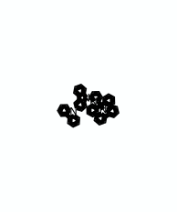 c1ccc(C(c2ccccc2)(c2cccc(-n3c4ccccc4c4cc(-n5c6ccccc6c6ccccc65)ccc43)n2)n2c3ccccc3c3ccccc32)cc1